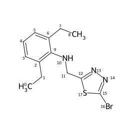 CCc1cccc(CC)c1NCc1nnc(Br)s1